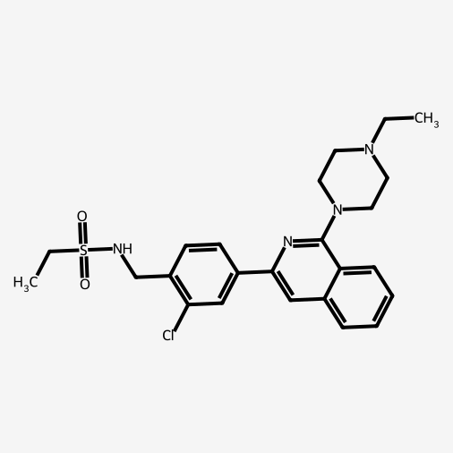 CCN1CCN(c2nc(-c3ccc(CNS(=O)(=O)CC)c(Cl)c3)cc3ccccc23)CC1